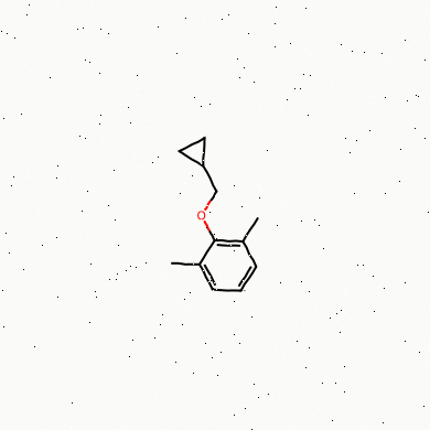 Cc1c[c]cc(C)c1OCC1CC1